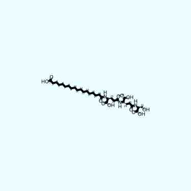 O=C(O)CCCCCCCCCCCCCCCCC(=O)N[C@@H](CCC(=O)N[C@@H](CCC(=O)N[C@@H](CO)C(=O)O)C(=O)O)C(=O)O